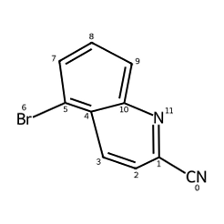 N#Cc1ccc2c(Br)cccc2n1